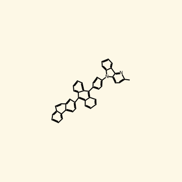 Cc1ccc2c(n1)c1ccccc1n2-c1ccc(-c2c3ccccc3c(-c3ccc4c(ccc5ccccc54)c3)c3ccccc23)cc1